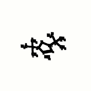 CC(C)(C)N1C=CN(C(C)(C)C)C1.Cl